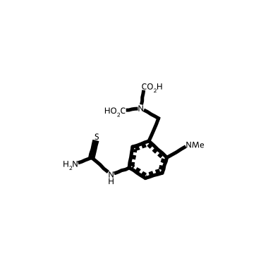 CNc1ccc(NC(N)=S)cc1CN(C(=O)O)C(=O)O